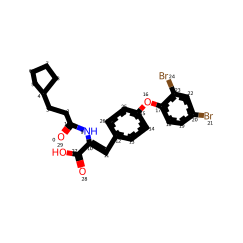 O=C(CCC1CCCC1)NC(=Cc1ccc(Oc2ccc(Br)cc2Br)cc1)C(=O)O